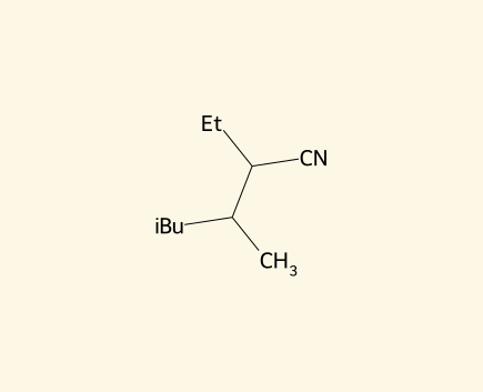 CCC(C)C(C)C(C#N)CC